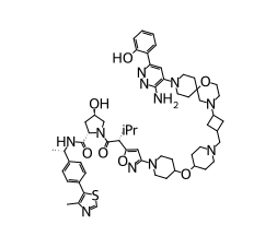 Cc1ncsc1-c1ccc([C@H](C)NC(=O)[C@@H]2C[C@@H](O)CN2C(=O)[C@@H](c2cc(N3CCC(OC4CCN(CC5CC(N6CCOC7(CCN(c8cc(-c9ccccc9O)nnc8N)CC7)C6)C5)CC4)CC3)no2)C(C)C)cc1